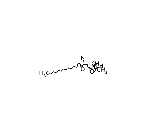 CCCCCCCCCCCCOC(=O)C(C#N)=CC=C1OCC(C)(C)N1C